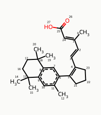 CC(C=CC1=C(c2cc3c(cc2C)C(C)(C)CCC3(C)C)CCC1)=CC(=O)O